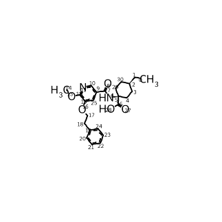 CC[C@H]1CC[C@](NC(=O)c2cnc(OC)c(OCCc3ccccc3)c2)(C(=O)O)CC1